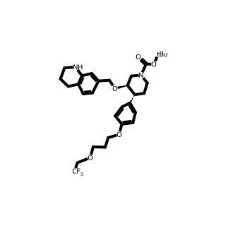 CC(C)(C)OC(=O)N1CC[C@H](c2ccc(OCCCOCC(F)(F)F)cc2)[C@@H](OCc2ccc3c(c2)NCCC3)C1